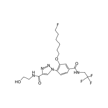 O=C(NCC(F)(F)F)c1ccc(-n2cc(C(=O)NCCO)nn2)c(OCCCCCCF)c1